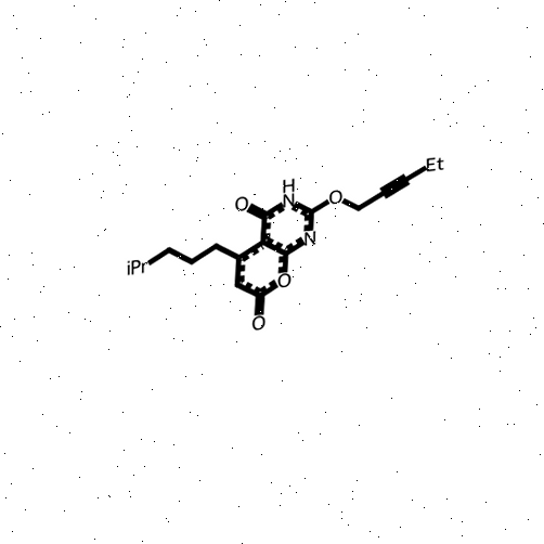 CCC#CCOc1nc2oc(=O)cc(CCCC(C)C)c2c(=O)[nH]1